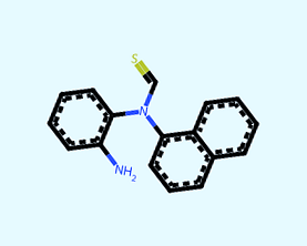 Nc1ccccc1N(C=S)c1cccc2ccccc12